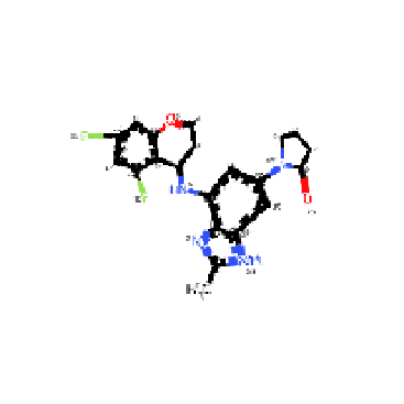 Cc1nc2c(NC3CCOc4cc(F)cc(F)c43)cc(N3CCCC3=O)cc2[nH]1